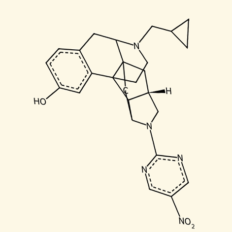 O=[N+]([O-])c1cnc(N2C[C@H]3CC45CCC2C3C42CCN(CC3CC3)C5Cc3ccc(O)cc32)nc1